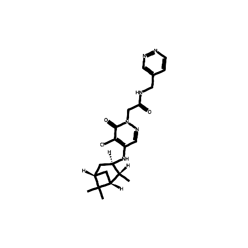 C[C@@H]1[C@H]2C[C@@H](C[C@H]1Nc1cnn(CC(=O)NCc3ccnnc3)c(=O)c1Cl)C2(C)C